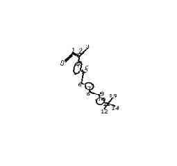 C=CC(C)OCCOCCOC(C)(C)C